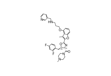 Cc1c(C2=N[C@H](C(=O)N3CCN(C)CC3)[C@@H](Cc3ccc(F)cc3F)O2)oc2cccc(OCCCNCc3cccnc3)c12